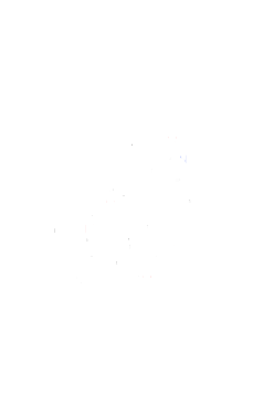 CCOC(=O)C(Cc1ccccc1)(C(=O)O)c1ccc([N+](=O)[O-])c(F)c1